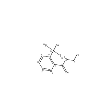 C=C(OCC)c1nn[c]cc1C(C)(F)F